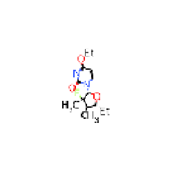 CCOc1ccn([C@@H]2O[C@H](CC)C(C)[C@@]2(C)F)c(=O)n1